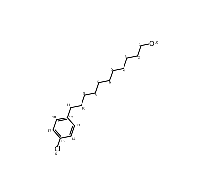 [O]CCCCCCCCCCCc1ccc(Cl)cc1